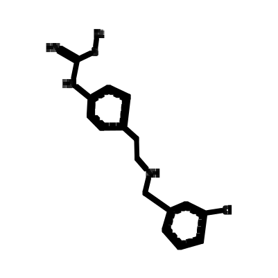 CCSC(=N)Nc1ccc(CCNCc2cccc(Cl)c2)cc1